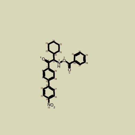 O=C(ONC(C(=O)c1ccc(-c2ccc([N+](=O)[O-])cc2)cc1)C1CCCCC1)c1ccccc1